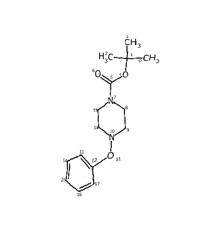 CC(C)(C)OC(=O)N1CCN(Oc2ccccc2)CC1